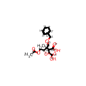 CC(=O)OC[C@@H](O)[C@@](C)(COCc1ccccc1)C(CC(=O)O)C(=O)O